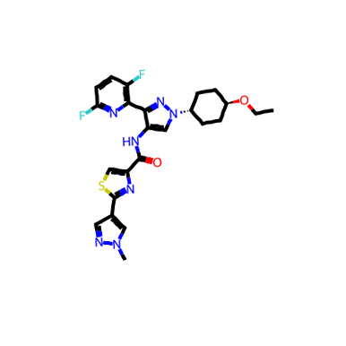 CCO[C@H]1CC[C@H](n2cc(NC(=O)c3csc(-c4cnn(C)c4)n3)c(-c3nc(F)ccc3F)n2)CC1